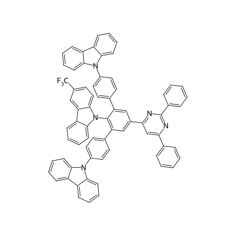 FC(F)(F)c1ccc2c(c1)c1ccccc1n2-c1c(-c2ccc(-n3c4ccccc4c4ccccc43)cc2)cc(-c2cc(-c3ccccc3)nc(-c3ccccc3)n2)cc1-c1ccc(-n2c3ccccc3c3ccccc32)cc1